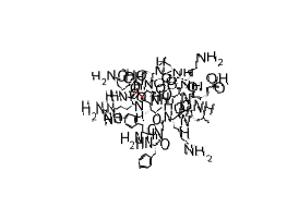 CC[C@H](C)[C@H](NC(=O)[C@@H](NC(=O)[C@H](CO)NC(=O)[C@H](CC(C)C)NC(=O)[C@H](CCCCN)NC(=O)[C@H](CO)NC(=O)[C@H](CCC(=O)O)NC(=O)[C@H](CC(C)C)NC(=O)[C@H](CCCCN)NC(=O)CNC(=O)[C@H](Cc1ccccc1)NC(=O)[C@@H](N)Cc1ccc(O)cc1)C(C)C)C(=O)N[C@@H](CCCNC(=N)N)C(=O)N[C@@H](CC(N)=O)C(=O)O